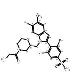 CCC(=O)N1CCO[C@@H](Cn2c(-c3c(F)cc(S(N)(=O)=O)cc3F)nc3cc(C)c(F)cc32)C1